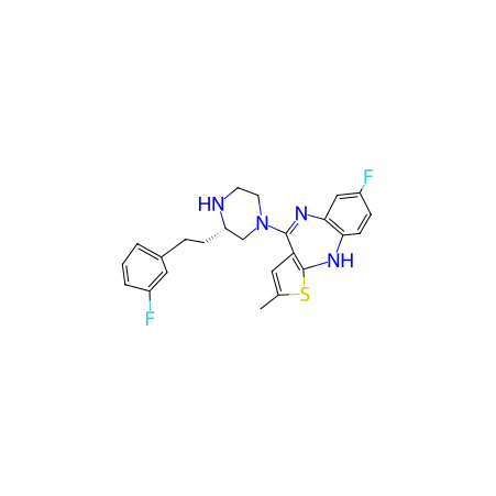 Cc1cc2c(s1)Nc1ccc(F)cc1N=C2N1CCN[C@@H](CCc2cccc(F)c2)C1